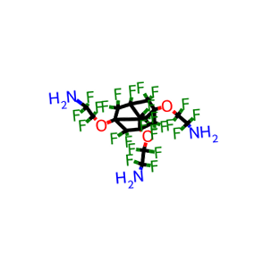 NC(F)(F)C(F)(F)OC12C(F)(F)C3(F)C(F)(F)C(OC(F)(F)C(N)(F)F)(C1(F)F)C(F)(F)C(OC(F)(F)C(N)(F)F)(C3(F)F)C2(F)F